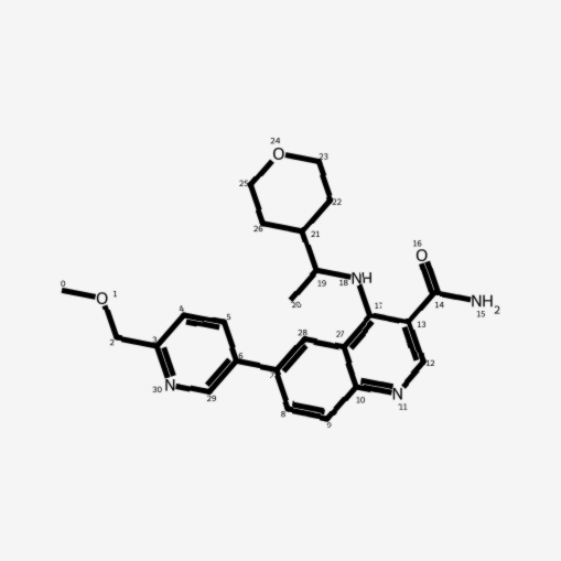 COCc1ccc(-c2ccc3ncc(C(N)=O)c(NC(C)C4CCOCC4)c3c2)cn1